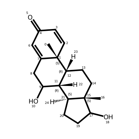 C[C@]12C=CC(=O)C=C1CC(O)[C@@H]1[C@H]2CC[C@]2(C)C(O)CC[C@@H]12